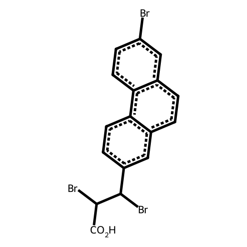 O=C(O)C(Br)C(Br)c1ccc2c(ccc3cc(Br)ccc32)c1